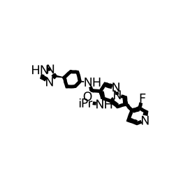 CC(C)Nc1c(C(=O)N[C@H]2CC[C@H](c3nc[nH]n3)CC2)cnn2cc(-c3ccncc3F)cc12